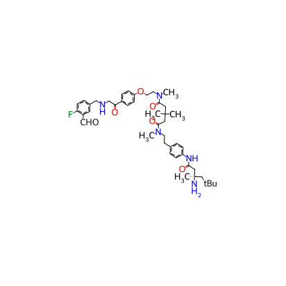 CN(CCOc1ccc(C(=O)CNCc2ccc(F)c(C=O)c2)cc1)C(=O)CC(C)(C)CC(=O)N(C)CCc1ccc(NC(=O)C[C@](C)(N)CC(C)(C)C)cc1